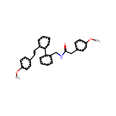 COc1ccc(/C=C/c2ccccc2-c2ccccc2CNC(=O)Cc2ccc(OC)cc2)cc1